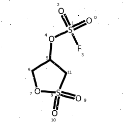 O=S(=O)(F)OC1COS(=O)(=O)C1